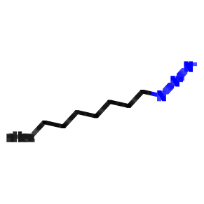 CCCCCCCCCCCCCN=[N+]=[N-]